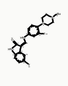 CCC(C)N1CCN(c2ccc(NC=C3C(=O)Nc4ccc(F)cc43)cc2F)CC1